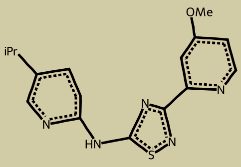 COc1ccnc(-c2nsc(Nc3ccc(C(C)C)cn3)n2)c1